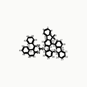 CC1(C)c2ccccc2-c2cc3c4c(c21)c1cccc2c5ccccc5n(c5cccc(c45)n3-c3nc(-c4ccccc4)c4c(ccc5ccccc54)n3)c21